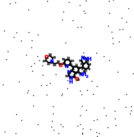 Cc1ccc2[nH]ncc2c1-c1cc(-c2cccc(OCCN3CCOCC3)n2)c2nc[nH]c(=O)c2c1N